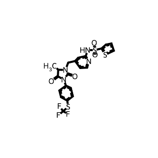 CC1C(=O)N(c2ccc(SC(F)(F)F)cc2)C(=O)N1Cc1ccnc(NS(=O)(=O)c2cccs2)c1